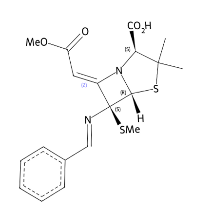 COC(=O)/C=C1\N2[C@@H](C(=O)O)C(C)(C)S[C@@H]2[C@@]1(N=Cc1ccccc1)SC